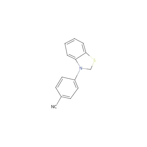 N#Cc1ccc(N2CSc3ccccc32)cc1